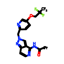 CC(C)C(=O)Nc1nccc2nn(Cc3ccc(OCC(F)(F)C(F)(F)F)cn3)cc12